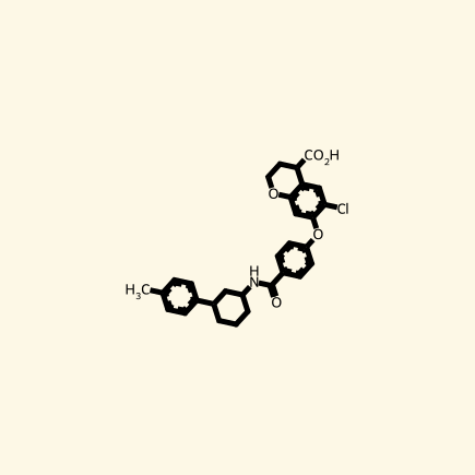 Cc1ccc(C2CCCC(NC(=O)c3ccc(Oc4cc5c(cc4Cl)C(C(=O)O)CCO5)cc3)C2)cc1